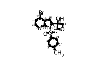 Cc1ccc(S(=O)(=O)n2c(C3(O)COC3)cc3c(Br)ccnc32)cc1